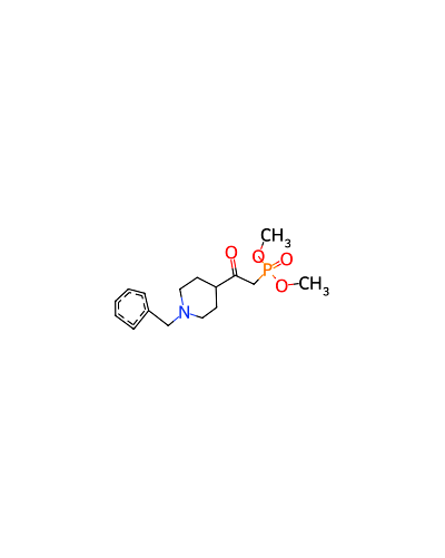 COP(=O)(CC(=O)C1CCN(Cc2ccccc2)CC1)OC